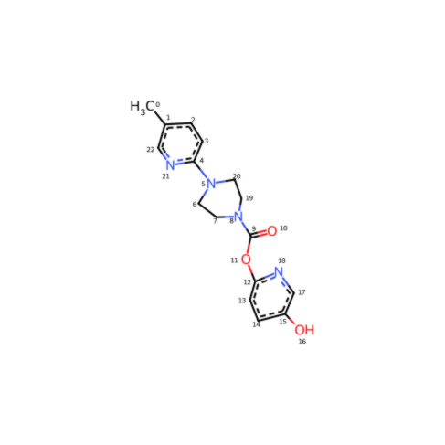 Cc1ccc(N2CCN(C(=O)Oc3ccc(O)cn3)CC2)nc1